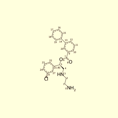 NCCNC[C@H](OC(=O)c1cccc(-c2ccccc2)c1)c1cccc(Cl)c1